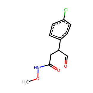 CONC(=O)CC(C=O)c1ccc(Cl)cc1